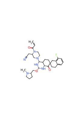 C=CC(=O)N1CCN(C2NC(OCC3CCCN3C)NC3C(=O)C4(CCc5cccc(F)c5C4)CCC32)CC1CC#N